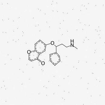 CNCCC(Oc1ccc2occc(=O)c2c1)c1ccccc1